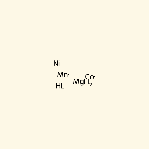 [Co].[LiH].[MgH2].[Mn].[Ni]